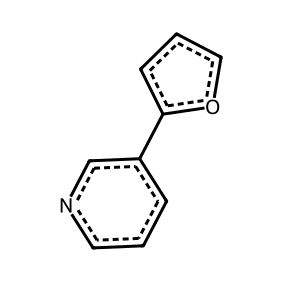 c1cncc(-c2ccco2)c1